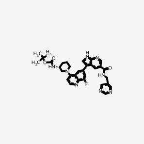 CC(C)(C)OC(=O)N[C@@H]1CCCN(c2ccnc3c(F)cc(-c4c[nH]c5ncc(C(=O)NCc6cncnc6)cc45)cc23)C1